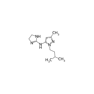 Cc1cc(NC2=NCCN2)n(CCC(C)C)n1